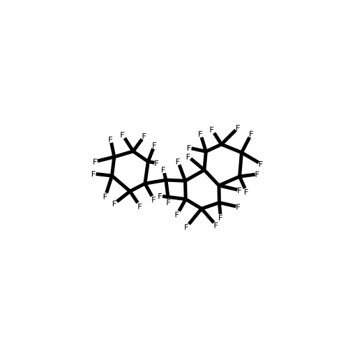 FC1(F)C(F)(F)C(F)(F)C(F)(C(F)(F)C2(F)C(F)(F)C(F)(F)C(F)(F)C3(F)C(F)(F)C(F)(F)C(F)(F)C(F)(F)C32F)C(F)(F)C1(F)F